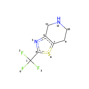 FC(F)(F)c1nc2c(s1)CCNC2